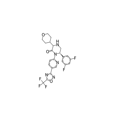 O=C1C(C2CCOCC2)NC[C@@H](c2cc(F)cc(F)c2)N1c1ccc(-c2noc(C(F)(F)F)n2)cn1